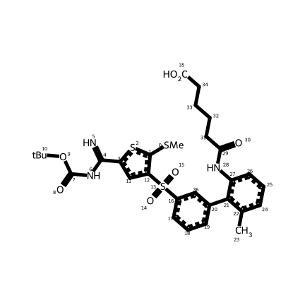 CSc1sc(C(=N)NC(=O)OC(C)(C)C)cc1S(=O)(=O)c1cccc(-c2c(C)cccc2NC(=O)CCCCC(=O)O)c1